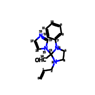 C=CCN1CCN(c2ccccc2)C1(C=O)n1ccnc1